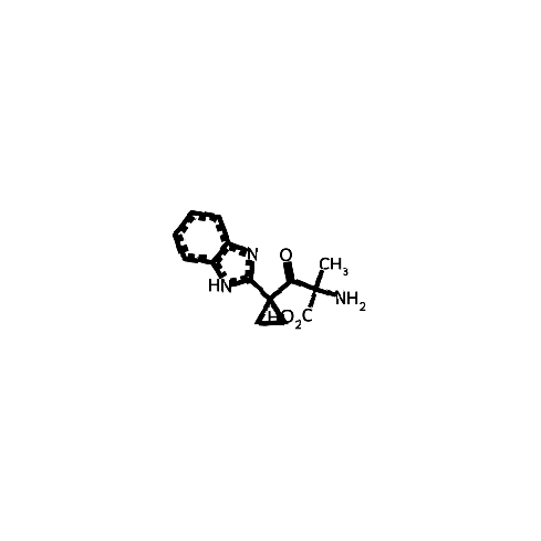 C[C@@](N)(C(=O)O)C(=O)C1(c2nc3ccccc3[nH]2)CC1